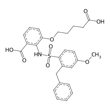 COc1ccc(S(=O)(=O)Nc2c(OCCCCC(=O)O)cccc2C(=O)O)c(Cc2ccccc2)c1